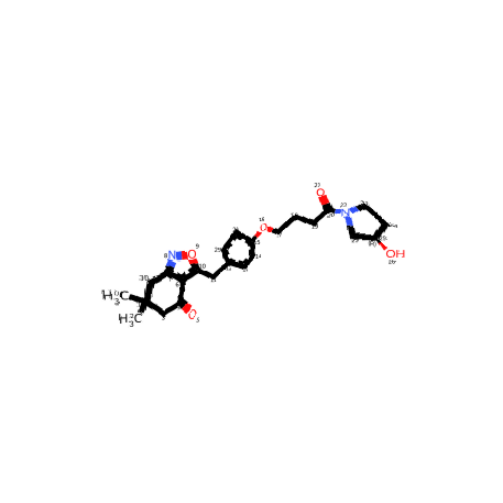 CC1(C)CC(=O)c2c(noc2Cc2ccc(OCCCC(=O)N3CC[C@@H](O)C3)cc2)C1